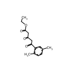 CCOC(=O)CC(=O)CC(=O)c1cc(C)ccc1C